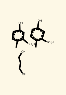 Cc1ccc(O)cc1S(=O)(=O)O.Cc1ccc(O)cc1S(=O)(=O)O.OCCCO